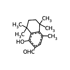 Cc1cc(C=O)c(O)c2c1C(C)(C)CCC2(C)C